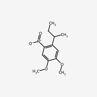 C[CH]C(C)c1cc(OC)c(OC)cc1[N+](=O)[O-]